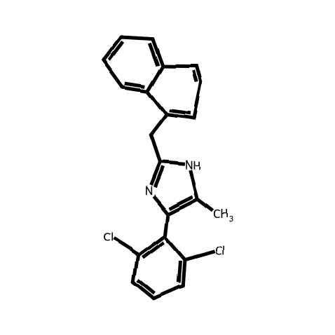 Cc1[nH]c(Cc2cccc3ccccc23)nc1-c1c(Cl)cccc1Cl